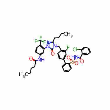 CCCCC(=O)Nc1ccc(C(F)(F)F)c(-n2nc(CCCC)n(Cc3ccc(-c4ccccc4S(=O)(=O)NC(=O)c4ccccc4Cl)cc3F)c2=O)c1